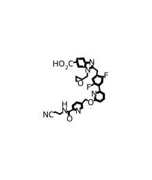 N#CCCNC(=O)c1ccc(COc2cccc(-c3cc(F)c(Cc4nc5ccc(C(=O)O)cc5n4CC4CCO4)cc3F)n2)cn1